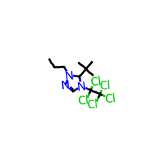 CCCN1N=CN(C(Cl)(Cl)C(Cl)(Cl)Cl)C1C(C)(C)C